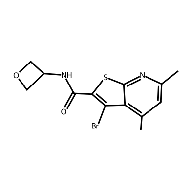 Cc1cc(C)c2c(Br)c(C(=O)NC3COC3)sc2n1